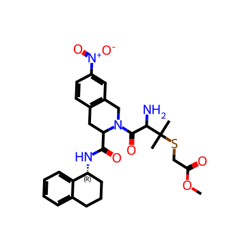 COC(=O)CSC(C)(C)C(N)C(=O)N1Cc2cc([N+](=O)[O-])ccc2CC1C(=O)N[C@@H]1CCCc2ccccc21